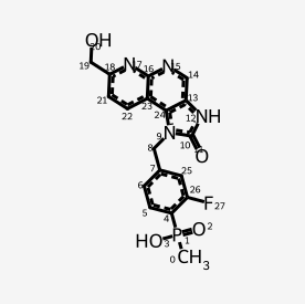 CP(=O)(O)c1ccc(Cn2c(=O)[nH]c3cnc4nc(CO)ccc4c32)cc1F